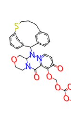 COC(=O)OCOc1c2n(ccc1=O)N(C1c3cccc(c3)CCCSc3cccc1c3)C1COCCN1C2=O